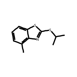 Cc1cccc2sc(SC(C)C)nc12